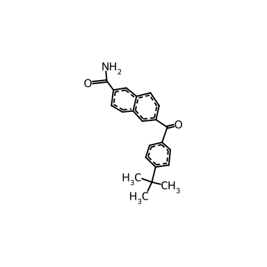 CC(C)(C)c1ccc(C(=O)c2ccc3cc(C(N)=O)ccc3c2)cc1